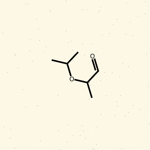 C[C](C=O)OC(C)C